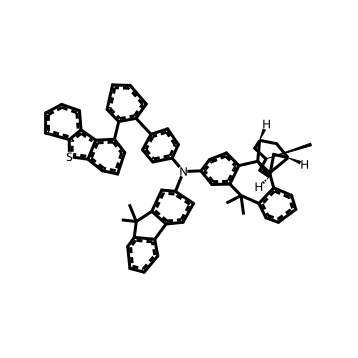 CC1(C)c2ccccc2-c2ccc(N(c3ccc(-c4ccccc4-c4cccc5sc6ccccc6c45)cc3)c3ccc4c(c3)C(C)(C)c3ccccc3C3[C@H]5C[C@H]6C[C@@H](C)C[C@H](C5)C436)cc21